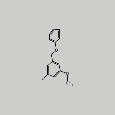 COc1cc(F)cc(COc2[c]cccc2)c1